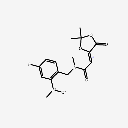 CN(Cc1ccc(F)cc1[S+](C)[O-])C(=O)/C=C1\OC(C)(C)OC1=O